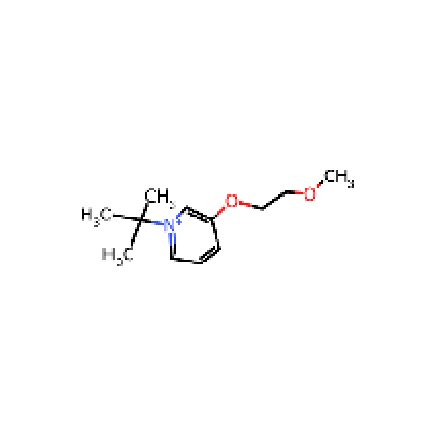 COCCOc1ccc[n+](C(C)(C)C)c1